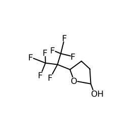 OC1CCC(C(F)(C(F)(F)F)C(F)(F)F)O1